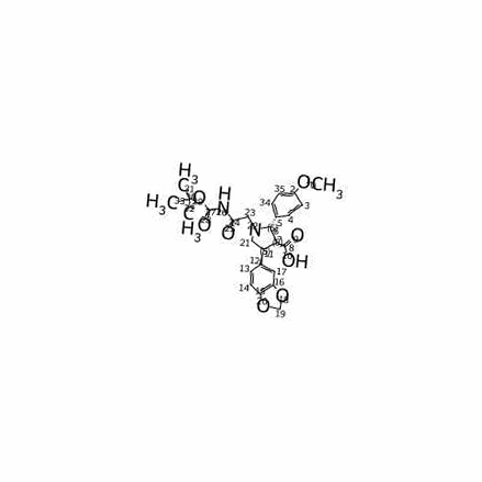 COc1ccc([C@@H]2[C@@H](C(=O)O)[C@@H](c3ccc4c(c3)OCO4)CN2CC(=O)NC(=O)OC(C)(C)C)cc1